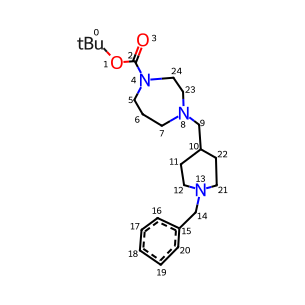 CC(C)(C)OC(=O)N1CCCN(CC2CCN(Cc3ccccc3)CC2)CC1